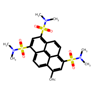 CC(=O)Oc1cc(S(=O)(=O)N(C)C)c2ccc3c(S(=O)(=O)N(C)C)cc(S(=O)(=O)N(C)C)c4ccc1c2c43